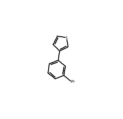 CC(C)c1cccc(-c2ccsc2)c1